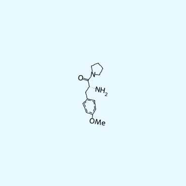 COc1ccc(C[C@@H](N)C(=O)N2CCCC2)cc1